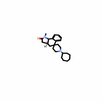 CN1C(=O)C[C@@H]2CC3(CCN(C4CCCCCC4)CC3)c3ccccc3C21